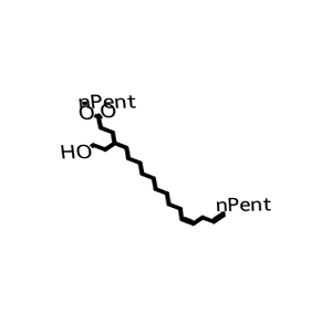 CCCCC/C=C\C/C=C\CCCCCCCCCC(CCO)CCC(=O)OCCCCC